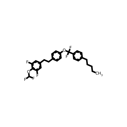 CCCCCc1ccc(C(F)(F)Oc2ccc(CCc3cc(F)c(OC(F)F)c(F)c3)cc2)cc1